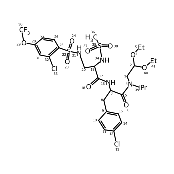 CCOC(CN(C(=O)C(Cc1ccc(Cl)cc1)NC(=O)C(CNS(=O)(=O)c1ccc(OC(F)(F)F)cc1Cl)NS(C)(=O)=O)C(C)C)OCC